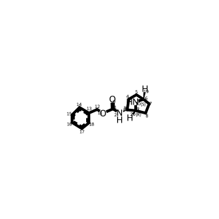 O=C(N[C@@H]1CC[C@@H]2CC[C@H]1N2)OCc1ccccc1